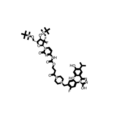 CC(C)c1cc(-c2nnc(O)n2-c2ccc(CN3CCN(C(=O)CCOC(=O)Nc4ccn([C@@H]5O[C@H](CO[Si](C)(C)C(C)(C)C)[C@@H](O[Si](C)(C)C(C)(C)C)C5(F)F)c(=O)n4)CC3)c(F)c2)c(O)cc1O